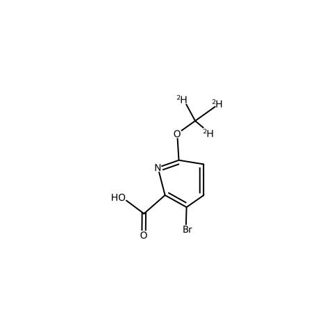 [2H]C([2H])([2H])Oc1ccc(Br)c(C(=O)O)n1